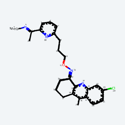 CO/N=C(\C)c1cccc(CCCO/N=C2\CCCc3c2nc2cc(Cl)ccc2c3C)n1